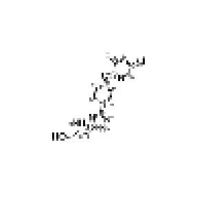 N[C@@H](CO)Cn1nnc(-c2ccc(Oc3ncc(Cl)cc3F)cc2)n1